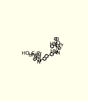 CCC[C@@](CN1CCC[C@H]1c1ncc(-c2ccc(-c3ccc4cc(-c5cnc([C@@H]6CCCN6C(=O)[C@@H](NC(=O)O)C(C)C)[nH]5)ccc4c3)cc2)[nH]1)(NC(=O)[C@H]1CCCO1)c1ccccc1